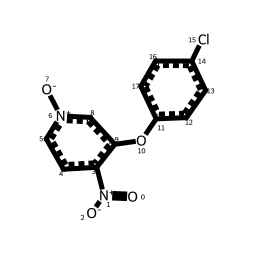 O=[N+]([O-])c1cc[n+]([O-])cc1Oc1ccc(Cl)cc1